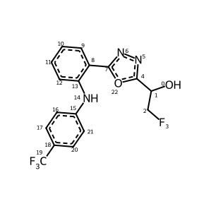 OC(CF)c1nnc(-c2ccccc2Nc2ccc(C(F)(F)F)cc2)o1